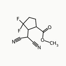 COC(=O)C1CCC(F)(F)C1C(C#N)C#N